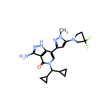 Cn1nc(-c2cn(C(C3CC3)C3CC3)c(=O)c3c(N)n[nH]c23)cc1N1CCC(F)(F)C1